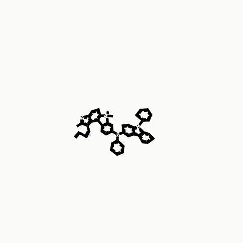 C=C/C=C\c1c(C)sc2ccc3c(c12)-c1ccc(N(c2ccccc2)c2ccc4c(c2)c2ccccc2n4-c2ccccc2)cc1[Si]3(C)C